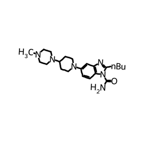 CCCCc1nc2cc(N3CCC(N4CCN(C)CC4)CC3)ccc2n1C(N)=O